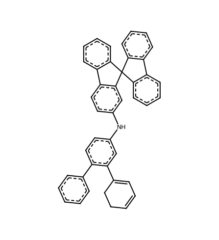 C1=CCCC(c2cc(Nc3ccc4c(c3)C3(c5ccccc5-c5ccccc53)c3ccccc3-4)ccc2-c2ccccc2)=C1